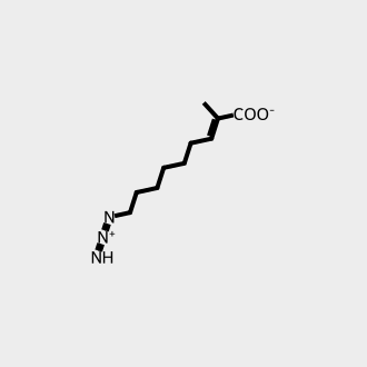 CC(=CCCCCCCN=[N+]=N)C(=O)[O-]